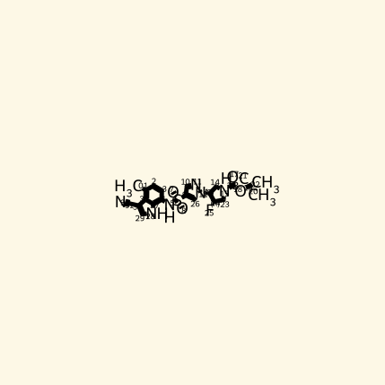 Cc1ccc(NS(=O)(=O)c2cnn([C@H]3CN(C(=O)OC(C)(C)C)C[C@H]3F)c2)c2[nH]cc(C#N)c12